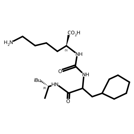 CCC(C)[C@@H](C)NC(=O)C(CC1CCCCC1)NC(=O)N[C@@H](CCCCN)C(=O)O